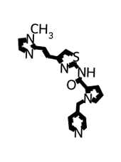 Cn1ccnc1C=Cc1csc(NC(=O)c2cccn2Cc2ccncc2)n1